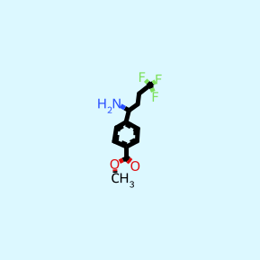 COC(=O)c1ccc(C(N)CCC(F)(F)F)cc1